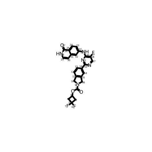 O=C(OC1CC(F)(F)C1)N1Cc2ccc(-c3ncc(F)c(Nc4ccc5c(=O)[nH]ccc5c4)n3)cc2C1